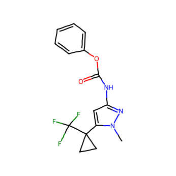 Cn1nc(NC(=O)Oc2ccccc2)cc1C1(C(F)(F)F)CC1